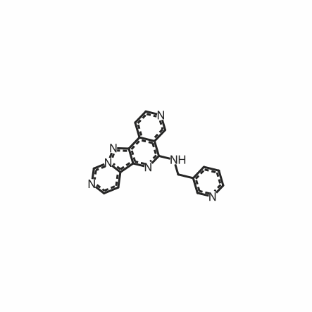 c1cncc(CNc2nc3c(nn4cnccc34)c3ccncc23)c1